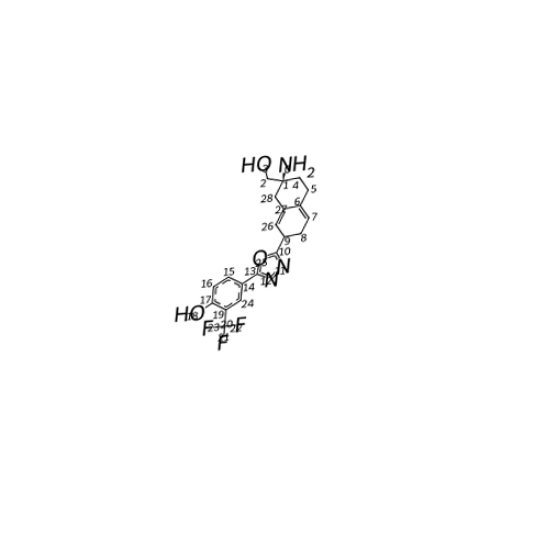 N[C@@]1(CO)CCC2=CCC(c3nnc(-c4ccc(O)c(C(F)(F)F)c4)o3)C=C2C1